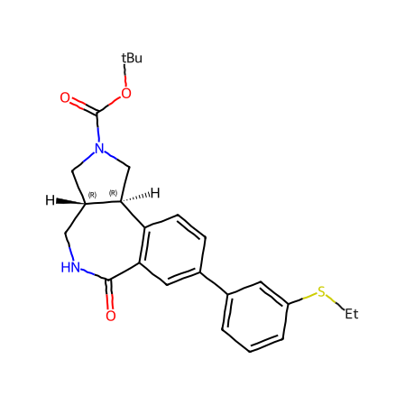 CCSc1cccc(-c2ccc3c(c2)C(=O)NC[C@@H]2CN(C(=O)OC(C)(C)C)C[C@@H]32)c1